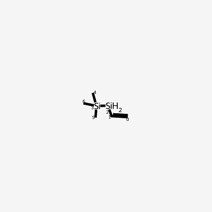 C=C[SiH2][Si](C)(C)C